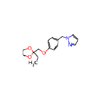 CCC1(COc2ccc(Cn3cccn3)cc2)OCCO1